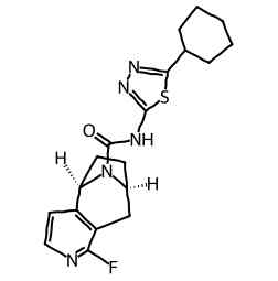 O=C(Nc1nnc(C2CCCCC2)s1)N1[C@H]2CC[C@@H]1c1ccnc(F)c1C2